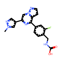 Cn1cc(-c2cn3nccc3c(-c3ccc(CNC(=O)O)c(F)c3)n2)cn1